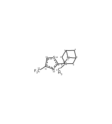 CN1CC2CC(C1)N2Cc1nc(C(F)(F)F)cs1